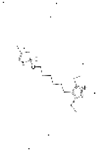 CCc1n[nH]c(CC)c1CCCCCCOC1(Cl)CC(C)=CS1